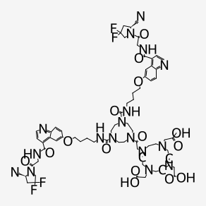 N#C[C@@H]1CC(F)(F)CN1C(=O)CNC(=O)c1ccnc2ccc(OCCCCNC(=O)N3CCN(C(=O)CN4CCN(CC(=O)O)CCN(CC(=O)O)CCN(CC(=O)O)CC4)CCN(C(=O)NCCCCOc4ccc5nccc(C(=O)NCC(=O)N6CC(F)(F)C[C@H]6C#N)c5c4)CC3)cc12